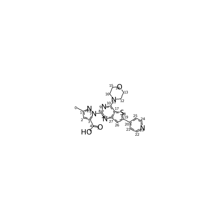 Cc1cc(C(=O)O)n(-c2nc(N3CCOCC3)c3sc(-c4ccncc4)cc3n2)n1